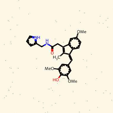 COc1ccc2c(c1)C(CC(=O)NCc1ccc[nH]1)=C(C)C2=Cc1cc(OC)c(O)c(OC)c1